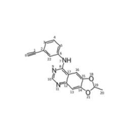 C#Cc1cccc(Nc2ncnc3cc4c(cc23)OC(C)O4)c1